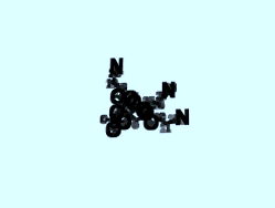 CS(=O)(=O)OC(CC(=O)OCCC#N)(CC(=O)OCCC#N)C(=O)OCCC#N